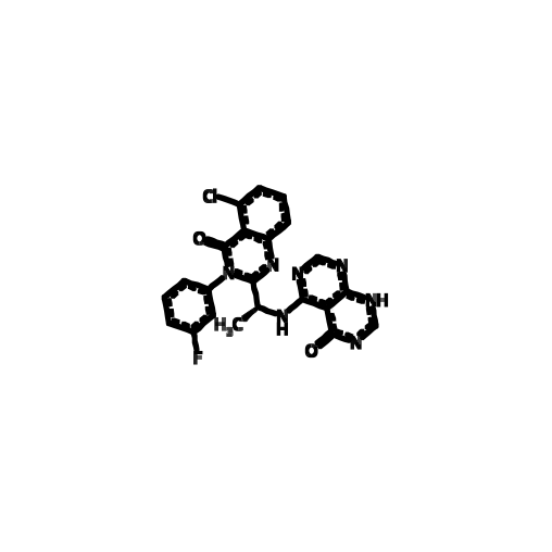 C[C@H](Nc1ncnc2[nH]cnc(=O)c12)c1nc2cccc(Cl)c2c(=O)n1-c1cccc(F)c1